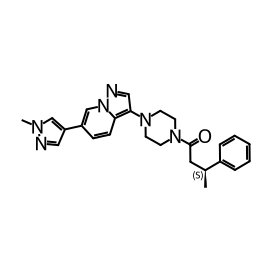 C[C@@H](CC(=O)N1CCN(c2cnn3cc(-c4cnn(C)c4)ccc23)CC1)c1ccccc1